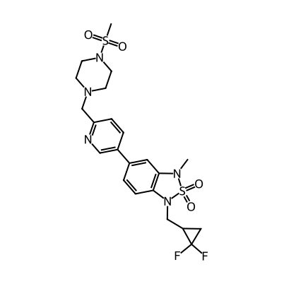 CN1c2cc(-c3ccc(CN4CCN(S(C)(=O)=O)CC4)nc3)ccc2N(CC2CC2(F)F)S1(=O)=O